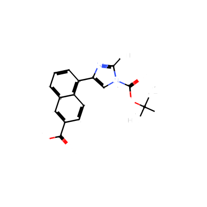 Cc1nc(-c2cccc3cc(C(=O)O)ccc23)cn1C(=O)OC(C)(C)C